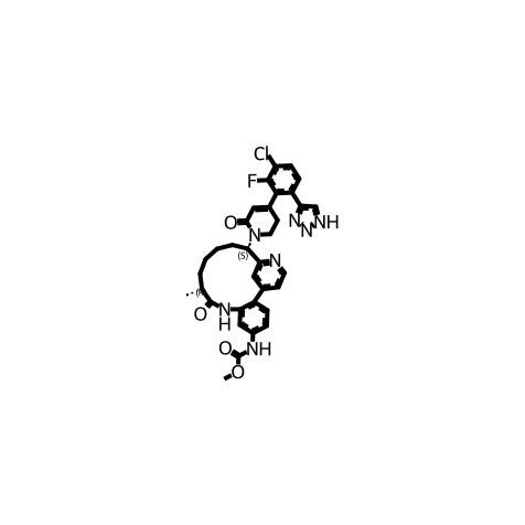 COC(=O)Nc1ccc2c(c1)NC(=O)[C@H](C)CCCC[C@H](N1CCC(c3c(-c4c[nH]nn4)ccc(Cl)c3F)=CC1=O)c1cc-2ccn1